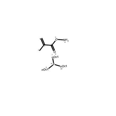 C=C(C)C(=O)ON.CCCCCCCCP(CCCCCCCC)CCCCCCCC